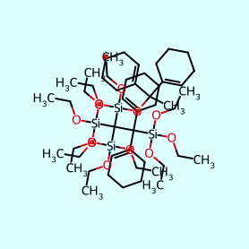 CCO[Si](OCC)(OCC)C(C1=CCCCC1)(C1=CCCCC1)C([Si](OCC)(OCC)OCC)([Si](OCC)(OCC)OCC)[Si](OCC)(OCC)OC(C)(C1=CCCCC1)C1=CCCCC1